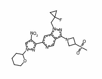 CS(=O)(=O)C1CN(c2nn(CC3(F)CC3)c3cc(-c4nn(C5CCCCO5)cc4[N+](=O)[O-])ncc23)C1